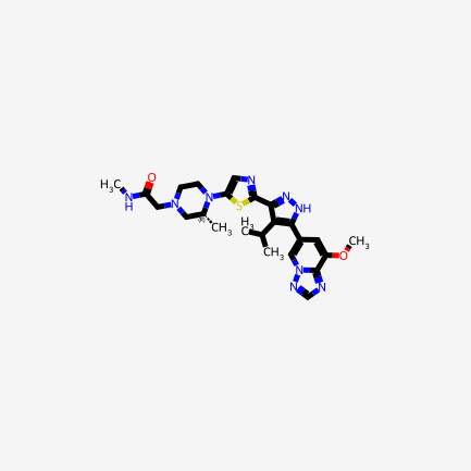 CNC(=O)CN1CCN(c2cnc(-c3n[nH]c(-c4cc(OC)c5ncnn5c4)c3C(C)C)s2)[C@H](C)C1